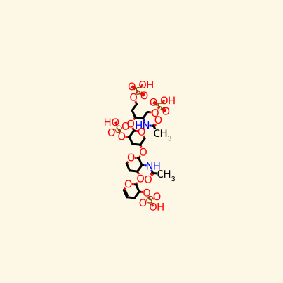 CC(=O)NC(COS(=O)(=O)O)C(CCOS(=O)(=O)O)OC1OCC(OC2OCCC(OC3OC=CCC3OS(=O)(=O)O)C2NC(C)=O)CC1OS(=O)(=O)O